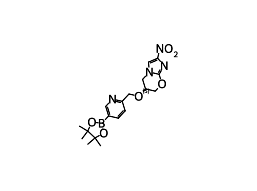 CC1(C)OB(c2ccc(CO[C@@H]3COc4nc([N+](=O)[O-])cn4C3)nc2)OC1(C)C